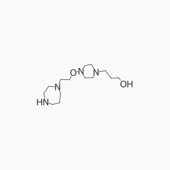 OCCCN1CCN(OCCN2CCCNCC2)CC1